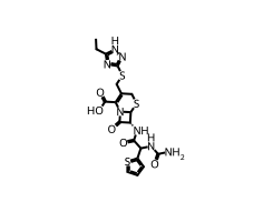 CCc1nc(SCC2=C(C(=O)O)N3C(=O)[C@@H](NC(=O)C(NC(N)=O)c4cccs4)C3SC2)n[nH]1